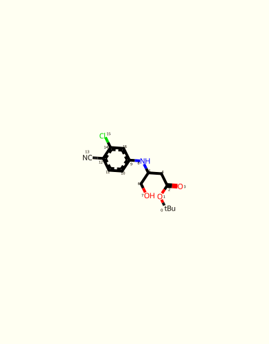 CC(C)(C)OC(=O)CC(CO)Nc1ccc(C#N)c(Cl)c1